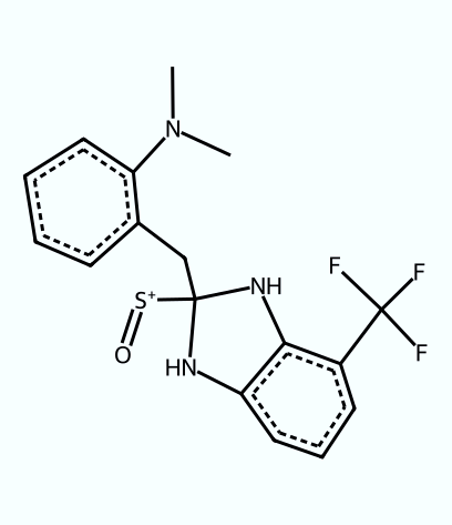 CN(C)c1ccccc1CC1([S+]=O)Nc2cccc(C(F)(F)F)c2N1